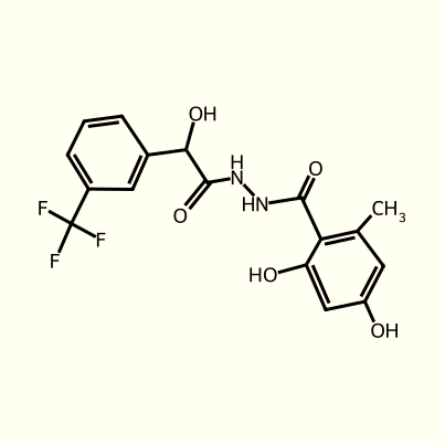 Cc1cc(O)cc(O)c1C(=O)NNC(=O)C(O)c1cccc(C(F)(F)F)c1